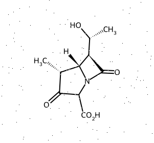 C[C@@H](O)[C@H]1C(=O)N2C(C(=O)O)C(=O)[C@H](C)[C@H]12